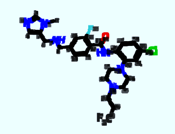 Cn1cncc1CNCc1ccc(C(=O)Nc2ccc(Cl)cc2N2CCN(CCC(F)(F)F)CC2)c(F)c1